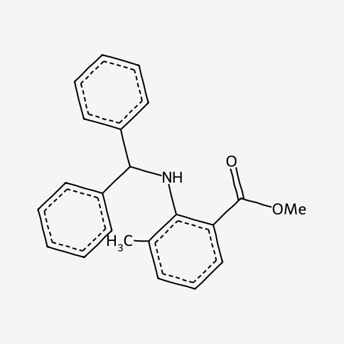 COC(=O)c1cccc(C)c1NC(c1ccccc1)c1ccccc1